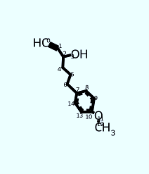 C#CC(O)CCCc1ccc(OC)cc1